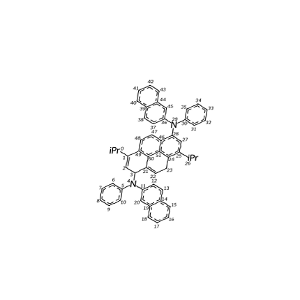 CC(C)C1=CC(N(c2ccccc2)c2ccc3ccccc3c2)C2=CCc3c(C(C)C)cc(N(c4ccccc4)c4ccc5ccccc5c4)c4ccc1c2c34